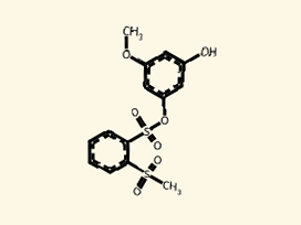 COc1cc(O)cc(OS(=O)(=O)c2ccccc2S(C)(=O)=O)c1